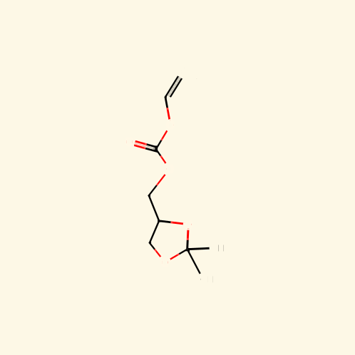 C=COC(=O)OCC1COC(C)(C)O1